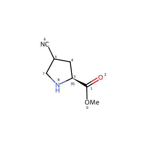 COC(=O)[C@@H]1CC(C#N)CN1